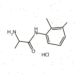 Cc1cccc(NC(=O)C(C)N)c1C.Cl